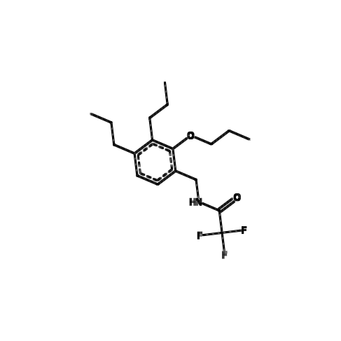 CCCOc1c(CNC(=O)C(F)(F)F)ccc(CCC)c1CCC